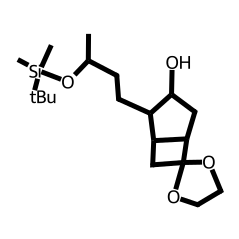 CC(CCC1C(O)CC2C1CC21OCCO1)O[Si](C)(C)C(C)(C)C